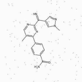 Cc1cnc(C(=N)c2cnn(C)c2)nc1-c1ccc(C(N)=O)cc1